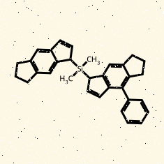 C[Si](C)(C1C=Cc2cc3c(cc21)CCC3)C1C=Cc2c1cc1c(c2-c2ccccc2)CCC1